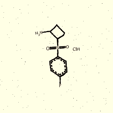 Cl.NC1CCC1S(=O)(=O)c1ccc(F)cc1